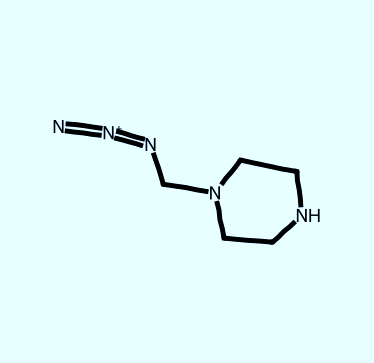 [N-]=[N+]=NCN1CCNCC1